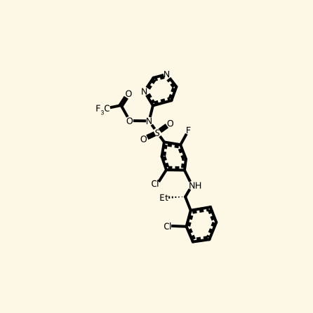 CC[C@H](Nc1cc(F)c(S(=O)(=O)N(OC(=O)C(F)(F)F)c2ccncn2)cc1Cl)c1ccccc1Cl